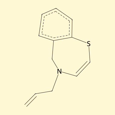 C=CCN1C=CSc2ccccc2C1